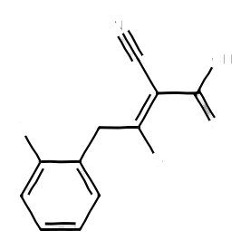 N#C/C(C(=O)O)=C(/O)Cc1ccccc1F